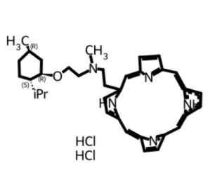 CC(C)[C@@H]1CC[C@@H](C)C[C@H]1OCCN(C)CCC12C=C3C=CC(=N3)C=c3ccc([nH]3)=CC3=NC(=CC(=CC1)N2)C=C3.Cl.Cl